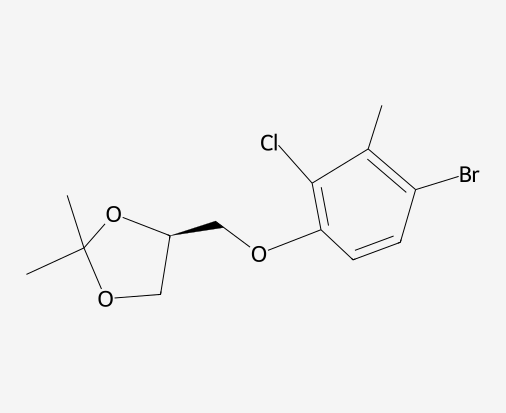 Cc1c(Br)ccc(OC[C@H]2COC(C)(C)O2)c1Cl